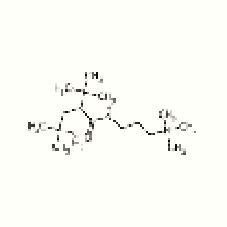 CC(C)(C)CC(C(=O)NCCC[N+](C)(C)C)C(C)(C)C